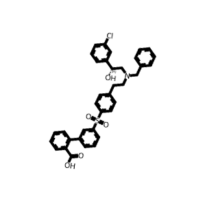 O=C(O)c1ccccc1-c1cccc(S(=O)(=O)c2ccc(CCN(Cc3ccccc3)C[C@H](O)c3cccc(Cl)c3)cc2)c1